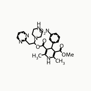 COC(=O)C1=C(C)NC(C)=C(C(=O)OC(Cc2ncccn2)N2CCNCC2)C1c1cccc([N+](=O)[O-])c1